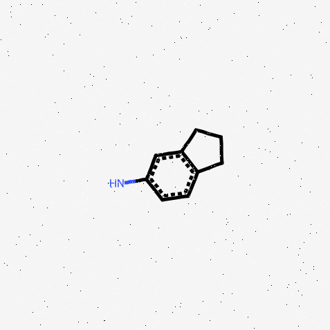 [NH]c1ccc2c(c1)CCC2